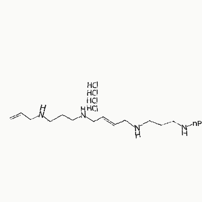 C=CCNCCCNCC=CCNCCCNCCC.Cl.Cl.Cl.Cl